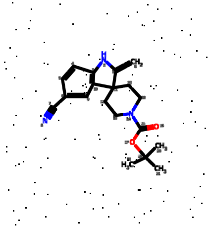 C=C1Nc2ccc(C#N)cc2C12CCN(C(=O)OC(C)(C)C)CC2